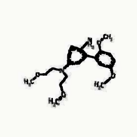 COCCN(CCOC)c1ccc(N)c(-c2cc(OC)ccc2OC)c1